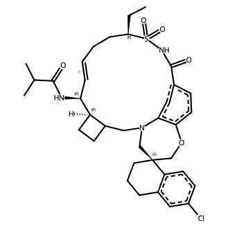 CC[C@@H]1CC/C=C/[C@H](NC(=O)C(C)C)[C@@H]2CCC2CN2C[C@@]3(CCCc4cc(Cl)ccc43)COc3ccc(cc32)C(=O)NS1(=O)=O